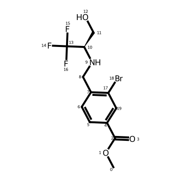 COC(=O)c1ccc(CN[C@H](CO)C(F)(F)F)c(Br)c1